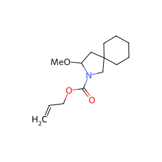 C=CCOC(=O)N1CC2(CCCCC2)CC1OC